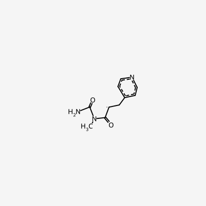 CN(C(N)=O)C(=O)[CH]Cc1ccncc1